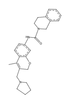 CC1=C(CN2CCCC2)COc2cc(NC(=O)N3CCc4ccccc4C3)ccc21